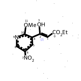 CCOC(=O)/C=C(\O)c1cc([N+](=O)[O-])cnc1OC